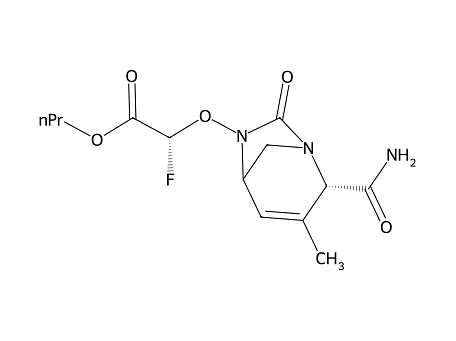 CCCOC(=O)[C@@H](F)ON1C(=O)N2CC1C=C(C)[C@H]2C(N)=O